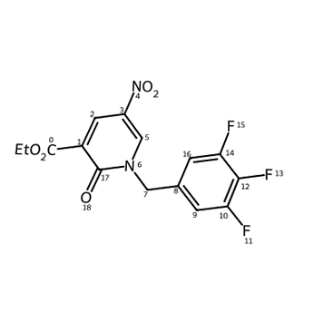 CCOC(=O)c1cc([N+](=O)[O-])cn(Cc2cc(F)c(F)c(F)c2)c1=O